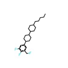 CCCCCC1CCC(C2CCC(c3cc(F)c(F)c(CF)c3)CC2)CC1